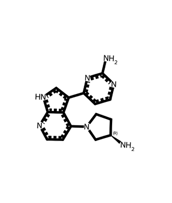 Nc1nccc(-c2c[nH]c3nccc(N4CC[C@@H](N)C4)c23)n1